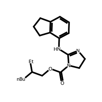 CCCCC(CC)COC(=O)N1CCN=C1Nc1cccc2c1CCC2